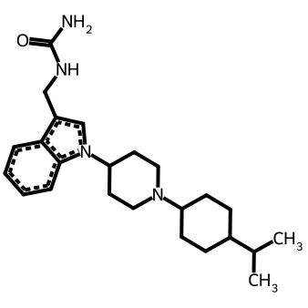 CC(C)C1CCC(N2CCC(n3cc(CNC(N)=O)c4ccccc43)CC2)CC1